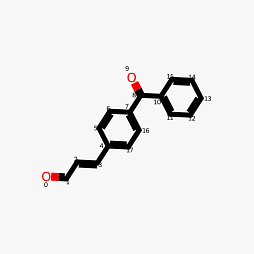 O=CC=Cc1ccc(C(=O)c2ccccc2)cc1